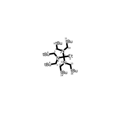 [CH2]CC(N(CC(C)(C)C)CC(C)(C)C)(N(CC(C)(C)C)CC(C)(C)C)N(CC(C)(C)C)CC(C)(C)C